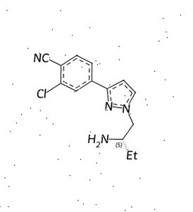 CC[C@H](N)Cn1ccc(-c2ccc(C#N)c(Cl)c2)n1